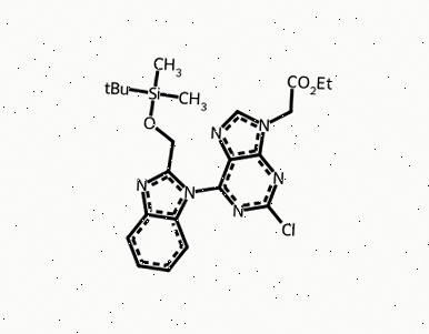 CCOC(=O)Cn1cnc2c(-n3c(CO[Si](C)(C)C(C)(C)C)nc4ccccc43)nc(Cl)nc21